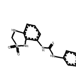 O=S1(=O)CNc2cccc(NC(=S)Nc3ccccc3)c2N1